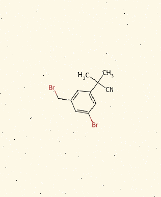 CC(C)(C#N)c1cc(Br)cc(CBr)c1